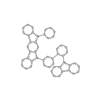 c1ccc(-n2c3ccccc3c3cc4c5ccccc5n(-c5cccc(-c6ccccc6-n6c7ccccc7c7ccccc76)c5)c4cc32)cc1